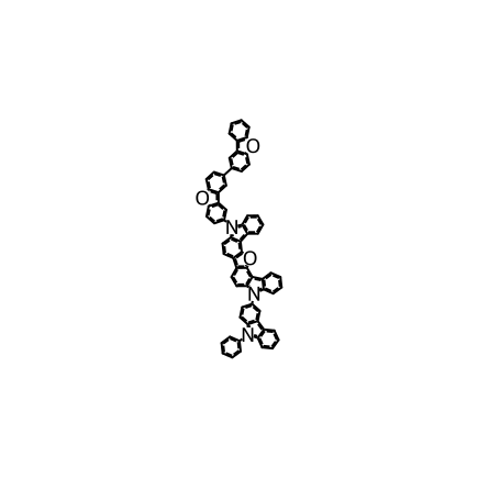 c1ccc(-n2c3ccccc3c3cc(-n4c5ccccc5c5c6oc7c(ccc8c7c7ccccc7n8-c7ccc8oc9ccc(-c%10ccc%11oc%12ccccc%12c%11c%10)cc9c8c7)c6ccc54)ccc32)cc1